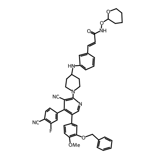 COc1ccc(-c2cnc(N3CCC(Nc4cccc(/C=C/C(=O)NOC5CCCCO5)c4)CC3)c(C#N)c2-c2ccc(C#N)c(F)c2)cc1OCc1ccccc1